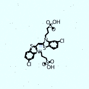 O=S(=O)(O)CCCN1/C(=C/c2sc3ccc(Cl)cc3[n+]2CCCS(=O)(=O)O)Sc2ccc(Cl)cc21